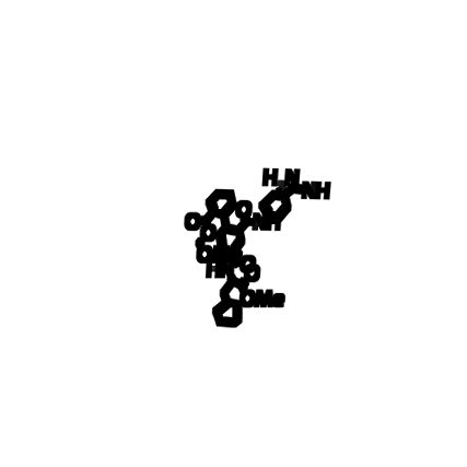 COCOC(=O)c1ccccc1-c1ccc(C(=O)NC(Cc2ccccc2)C(=O)OC)cc1C(=O)Nc1ccc(C(=N)N)cc1